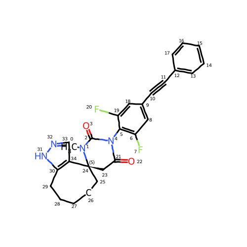 CN1C(=O)N(c2c(F)cc(C#Cc3ccccc3)cc2F)C(=O)C[C@]12CCCCCc1[nH]ncc12